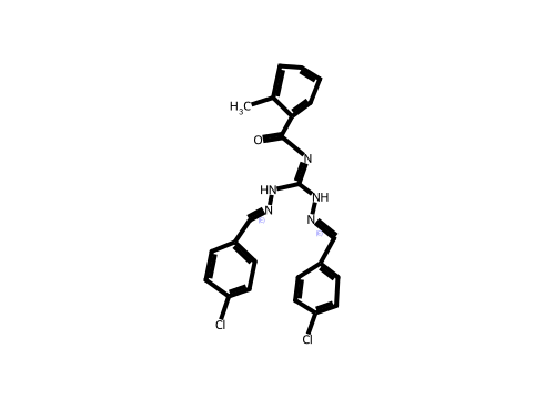 Cc1ccccc1C(=O)N=C(N/N=C/c1ccc(Cl)cc1)N/N=C/c1ccc(Cl)cc1